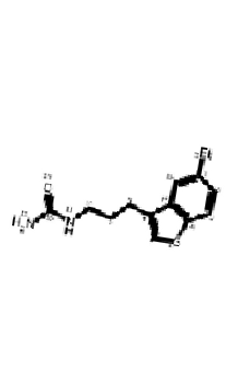 CCc1ccc2scc(CCCNC(N)=O)c2c1